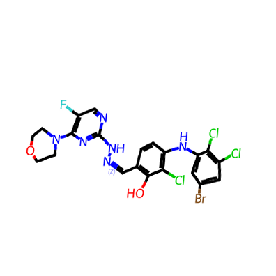 Oc1c(/C=N\Nc2ncc(F)c(N3CCOCC3)n2)ccc(Nc2cc(Br)cc(Cl)c2Cl)c1Cl